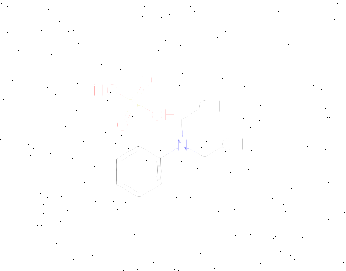 CCN(CC)c1ccccc1.O=S(=O)(O)O